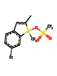 CCc1ccc2c(c1)S(OS(=O)(=O)C(F)(F)F)(C(F)(F)F)C(C)=C2